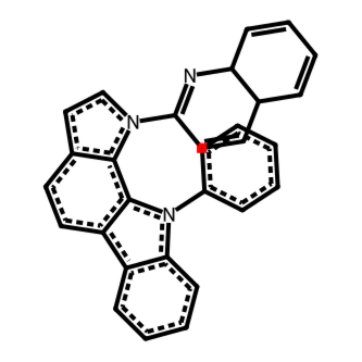 C1=CC2C=CC(n3ccc4ccc5c6ccccc6n(-c6ccccc6)c5c43)=NC2C=C1